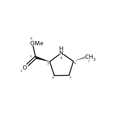 COC(=O)[C@@H]1CC[C@@H](C)N1